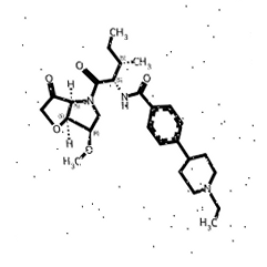 CC[C@H](C)[C@H](NC(=O)c1ccc(C2CCN(CC)CC2)cc1)C(=O)N1C[C@@H](OC)[C@H]2OCC(=O)[C@H]21